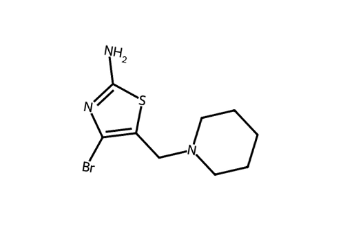 Nc1nc(Br)c(CN2CCCCC2)s1